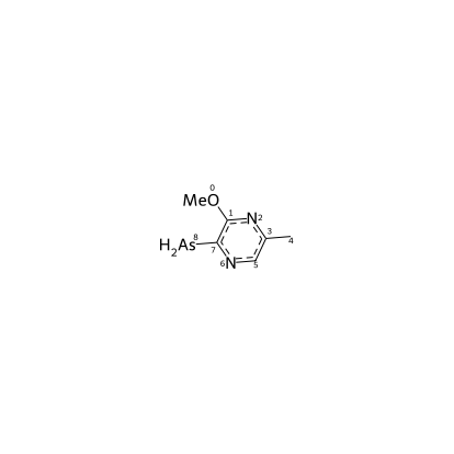 COc1nc(C)cnc1[AsH2]